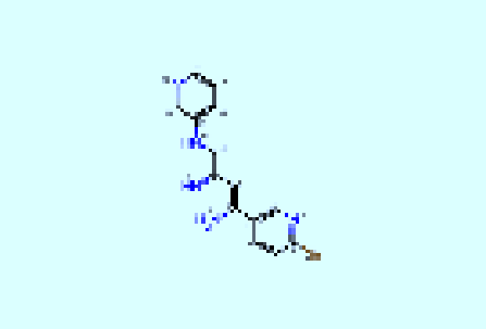 N=C(/C=C(\N)c1ccc(Br)nc1)CNc1cccnc1